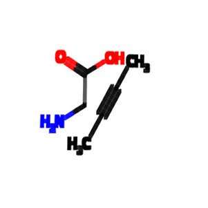 CC#CC.NCC(=O)O